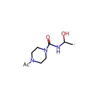 [CH2]C(O)NC(=O)N1CCN(C(C)=O)CC1